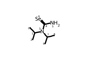 CC(C)N(C(N)=[Se])C(C)C